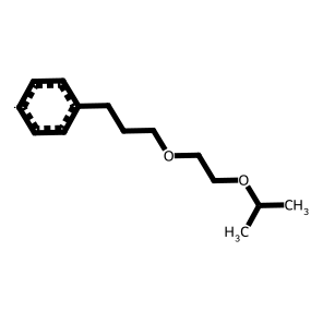 CC(C)OCCOCCCc1cc[c]cc1